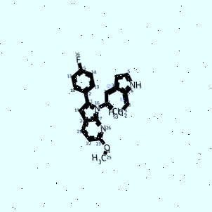 C=C(/C=c1/cc[nH]/c1=C/C)n1c(-c2ccc(F)cc2)cc2ccc(OC)nc21